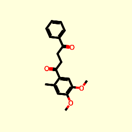 COc1cc(C)c(C(=O)CCC(=O)c2ccccc2)cc1OC